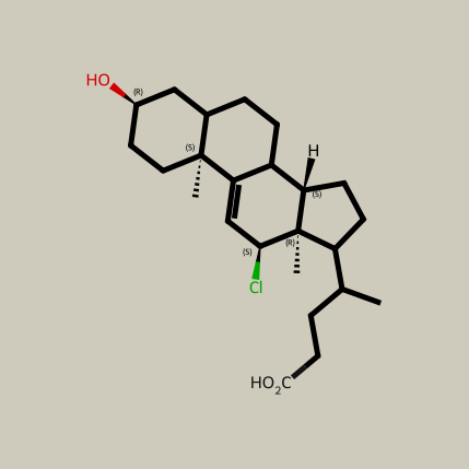 CC(CCC(=O)O)C1CC[C@H]2C3CCC4C[C@H](O)CC[C@]4(C)C3=C[C@H](Cl)[C@]12C